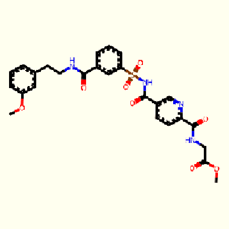 COC(=O)CNC(=O)c1ccc(C(=O)NS(=O)(=O)c2cccc(C(=O)NCCc3cccc(OC)c3)c2)cn1